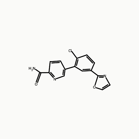 NC(=O)c1ccc(-c2cc(-c3ncco3)ccc2Cl)cn1